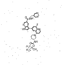 CC(C)(C)OC(=O)N[C@@H]1CCCN(c2ccnc3c(F)cc(-c4c[nH]c5ncc(C(=O)NCc6cccnc6)cc45)cc23)C1